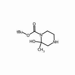 CC(C)(C)OC(=O)N1CCNCC1(C)O